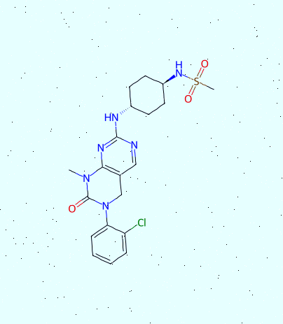 CN1C(=O)N(c2ccccc2Cl)Cc2cnc(N[C@H]3CC[C@H](NS(C)(=O)=O)CC3)nc21